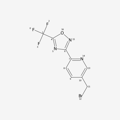 FC(F)(F)c1nc(-c2ccc(CBr)cn2)no1